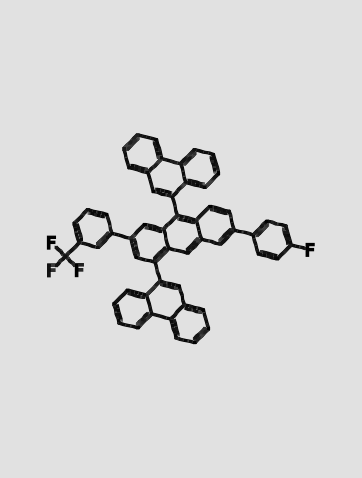 Fc1ccc(-c2ccc3c(-c4cc5ccccc5c5ccccc45)c4cc(-c5cccc(C(F)(F)F)c5)cc(-c5cc6ccccc6c6ccccc56)c4cc3c2)cc1